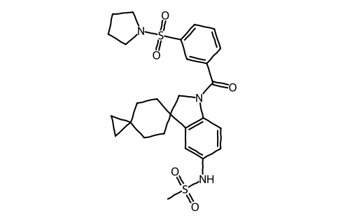 CS(=O)(=O)Nc1ccc2c(c1)C1(CCC3(CC3)CC1)CN2C(=O)c1cccc(S(=O)(=O)N2CCCC2)c1